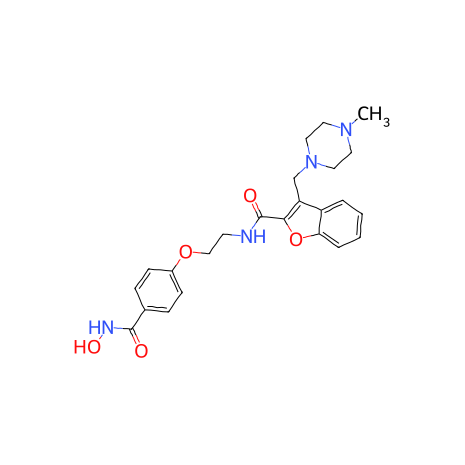 CN1CCN(Cc2c(C(=O)NCCOc3ccc(C(=O)NO)cc3)oc3ccccc23)CC1